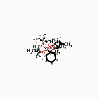 C=C(C)COC1([Si](O[Si](C)(C)C)(O[Si](C)(C)C)O[Si](C)(C)C)CCCCC1